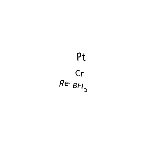 B.[Cr].[Pt].[Re]